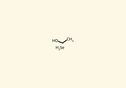 CCO.[SeH2]